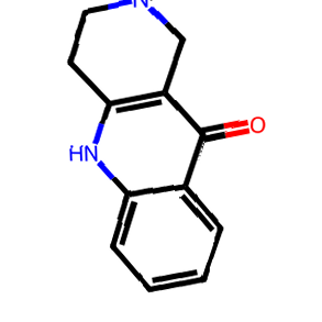 O=c1c2c([nH]c3ccccc13)CC[N]C2